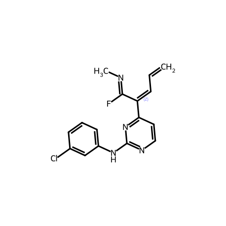 C=C/C=C(\C(F)=NC)c1ccnc(Nc2cccc(Cl)c2)n1